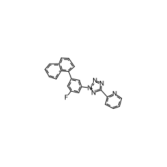 Fc1cc(-c2cccc3ccccc23)cc(-n2nnc(-c3ccccn3)n2)c1